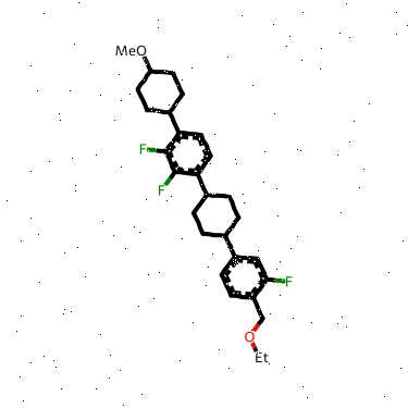 CCOCc1ccc(C2CCC(c3ccc(C4CCC(OC)CC4)c(F)c3F)CC2)cc1F